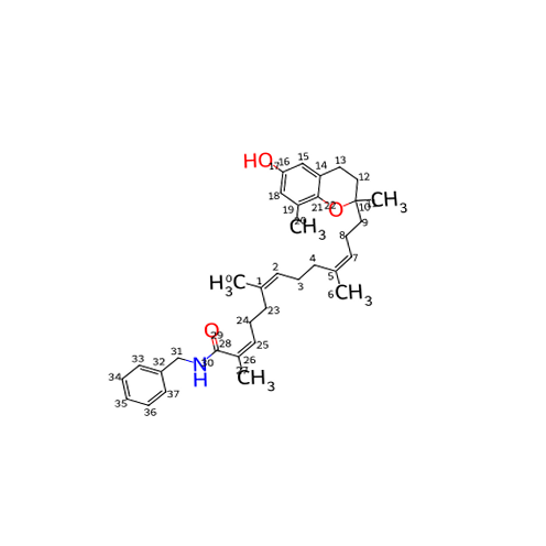 CC(=CCCC(C)=CCCC1(C)CCc2cc(O)cc(C)c2O1)CCC=C(C)C(=O)NCc1ccccc1